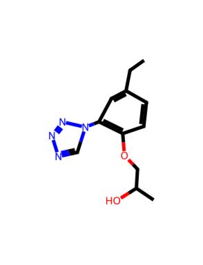 CCc1ccc(OCC(C)O)c(-n2cnnn2)c1